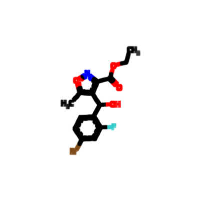 CCOC(=O)c1noc(C)c1C(O)c1ccc(Br)cc1F